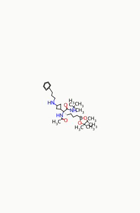 CC(=O)N[C@](CCCCB1OC(C)(C)C(C)(C)O1)(C(=O)NC(C)(C)C)C1CC(NCCCc2ccccc2)C1